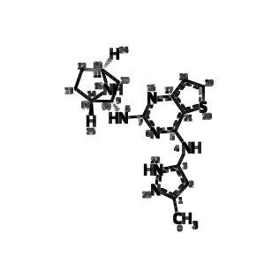 Cc1cc(Nc2nc(N[C@H]3C[C@@H]4CC[C@@H]3N4)nc3ccsc23)[nH]n1